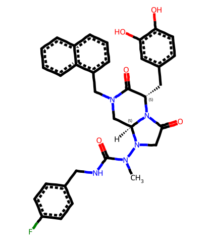 CN(C(=O)NCc1ccc(F)cc1)N1CC(=O)N2[C@@H](Cc3ccc(O)c(O)c3)C(=O)N(Cc3cccc4ccccc34)C[C@@H]21